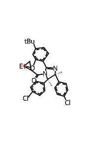 CCOc1cc(C(C)(C)C)ccc1C1=N[C@@](C)(c2ccc(Cl)cc2)[C@@](C)(c2ccc(Cl)cc2)N1C(=O)C1CC1